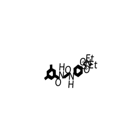 CCN(CC)S(=O)(=O)c1ccc(NC(=O)CNC(=O)c2cc(C)cc(C)c2)cc1